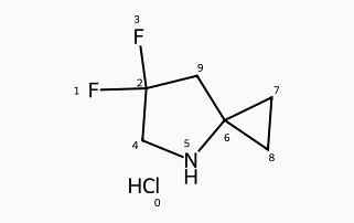 Cl.FC1(F)CNC2(CC2)C1